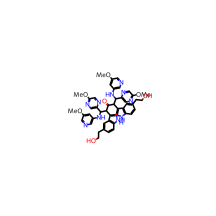 COc1cncc(NC(c2cnc(OC)cn2)C(C(=O)C(c2c[nH]c3ccc(CCO)cc23)C(Nc2cncc(OC)c2)c2cnc(OC)cn2)c2c[nH]c3ccc(CCO)cc23)c1